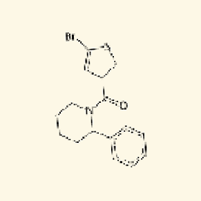 O=C(C1C=C(Br)SC1)N1CCCCC1c1ccccc1